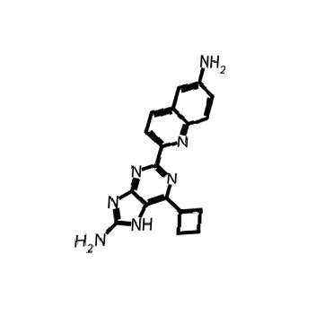 Nc1ccc2nc(-c3nc(C4CCC4)c4[nH]c(N)nc4n3)ccc2c1